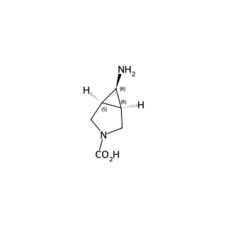 N[C@H]1[C@H]2CN(C(=O)O)C[C@@H]12